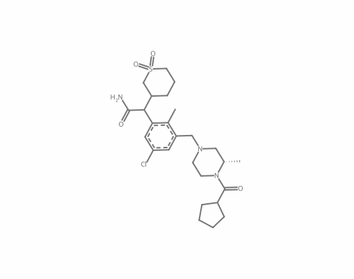 Cc1c(CN2CCN(C(=O)C3CCCC3)[C@@H](C)C2)cc(Cl)cc1C(C(N)=O)C1CCCS(=O)(=O)C1